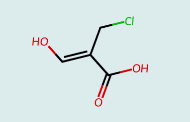 O=C(O)C(=CO)CCl